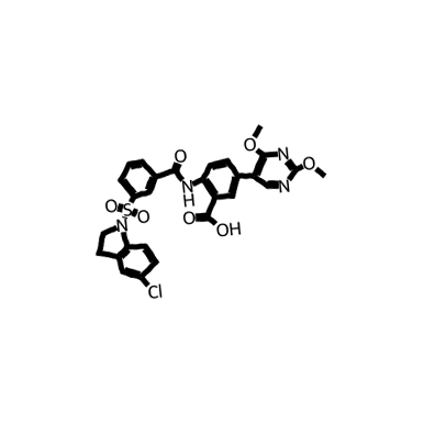 COc1ncc(-c2ccc(NC(=O)c3cccc(S(=O)(=O)N4CCc5cc(Cl)ccc54)c3)c(C(=O)O)c2)c(OC)n1